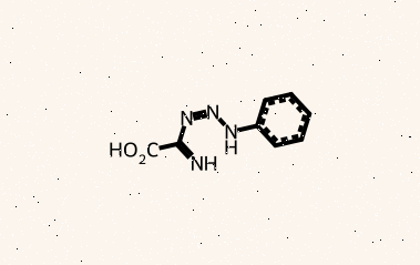 N=C(/N=N\Nc1ccccc1)C(=O)O